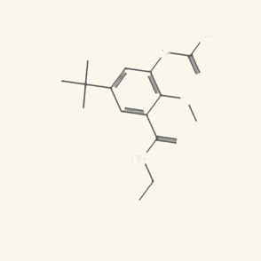 CCNC(=O)c1cc(C(C)(C)C)cc(NC(=O)O)c1OC